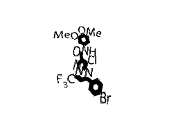 COc1ccc(NC(=O)c2nn3c(C(F)(F)F)cc(-c4ccc(Br)cc4)nc3c2Cl)cc1OC